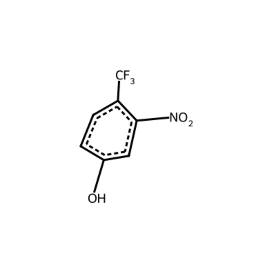 O=[N+]([O-])c1cc(O)ccc1C(F)(F)F